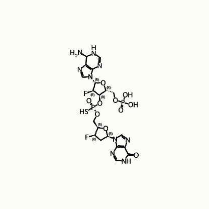 NC1NC=Nc2c1ncn2[C@@H]1O[C@H](COP(=O)(O)O)[C@@H](OP(=O)(S)OC[C@H]2O[C@@H](n3cnc4c(=O)[nH]cnc43)C[C@H]2F)[C@H]1F